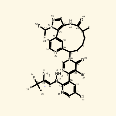 CC1CCCC(n2cnc(-c3cc(Cl)cnc3N(N)/C=C(\N)C(F)(F)F)c(Br)c2=O)c2cc(ccn2)-c2c(cnn2C(F)F)NC1=O